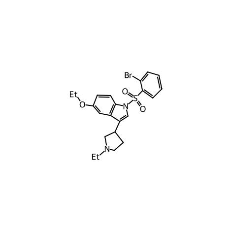 CCOc1ccc2c(c1)c(C1CCN(CC)C1)cn2S(=O)(=O)c1ccccc1Br